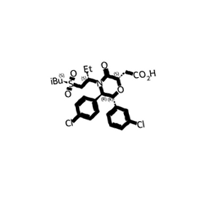 CC[C@@H](CS(=O)(=O)[C@@H](C)CC)N1C(=O)[C@H](CC(=O)O)O[C@H](c2cccc(Cl)c2)[C@H]1c1ccc(Cl)cc1